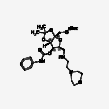 CCCCCCCCCCOC[C@@]12O[C@@H](CNCCN3CCOCC3)[C@@H](OC(=O)Nc3ccccc3)[C@@H]1OC(C)(C)O2